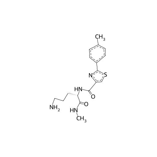 CNC(=O)[C@H](CCCN)NC(=O)c1csc(-c2ccc(C)cc2)n1